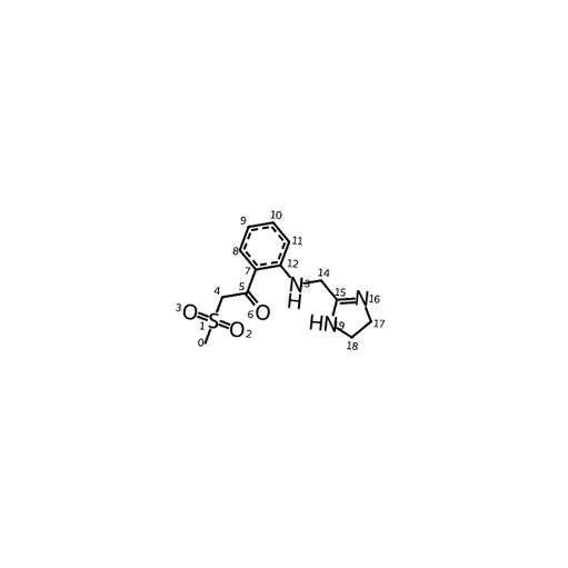 CS(=O)(=O)CC(=O)c1ccccc1NCC1=NCCN1